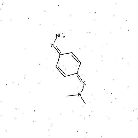 CN(C)N=C1C=CC(=NN)C=C1